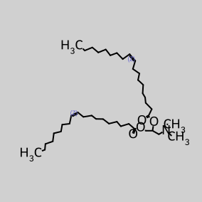 CCCCCCCC/C=C\CCCCCCCCC(=O)OCC(CN(C)C)OC(=O)CCCCCCCC/C=C\CCCCCCCC